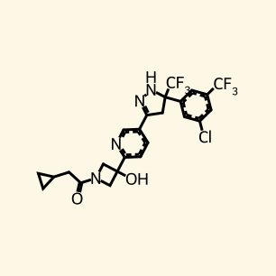 O=C(CC1CC1)N1CC(O)(c2ccc(C3=NNC(c4cc(Cl)cc(C(F)(F)F)c4)(C(F)(F)F)C3)cn2)C1